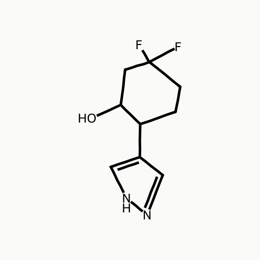 OC1CC(F)(F)CCC1c1cn[nH]c1